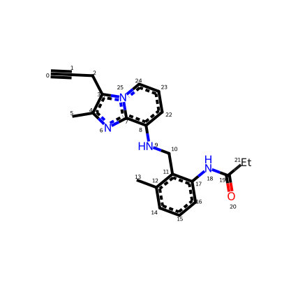 C#CCc1c(C)nc2c(NCc3c(C)cccc3NC(=O)CC)cccn12